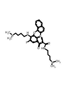 CN(C)CCCCNC(=O)c1cn2c3c(c(NCCCCN(C)C)c(F)cc3c1=O)Oc1c-2ccc2ccccc12